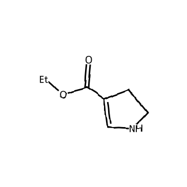 CCOC(=O)C1=CNCC1